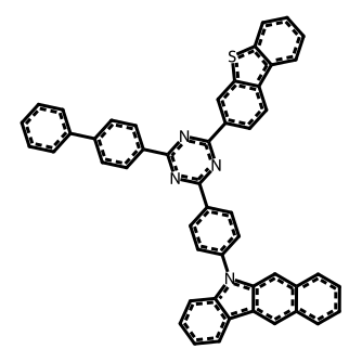 c1ccc(-c2ccc(-c3nc(-c4ccc(-n5c6ccccc6c6cc7ccccc7cc65)cc4)nc(-c4ccc5c(c4)sc4ccccc45)n3)cc2)cc1